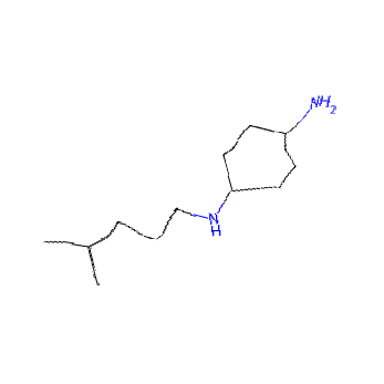 CC(C)CCCNC1CCC(N)CC1